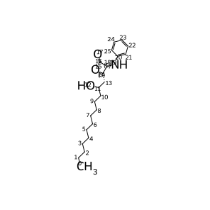 CCCCCCCCCCCC(O)C[C@@H]1OC(=O)[C@H]1Nc1ccccc1